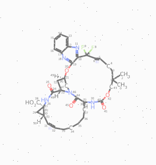 CC1(C)CC/C=C/C(F)(F)c2nc3ccccc3nc2O[C@@H]2C[C@H]3C(=O)N[C@]4(C(=O)O)C[C@H]4/C=C\CCCCC[C@H](NC(=O)OC1)C(=O)N3C2